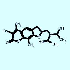 Cc1c(Br)c(=O)oc2c(C)c3c(cc12)CC(CN(C(C)O)C(C)O)O3